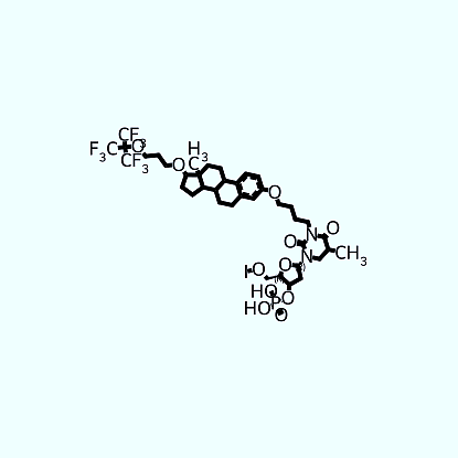 CC1CN([C@H]2CC(OP(=O)(O)O)[C@@H](COI)O2)C(=O)N(CCCCOc2ccc3c(c2)CCC2C3CCC3(C)C(OCCCOC(C(F)(F)F)(C(F)(F)F)C(F)(F)F)CCC23)C1=O